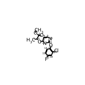 COC(=O)C(C)Oc1ccnc(Oc2c[c]c(F)cc2Cl)n1